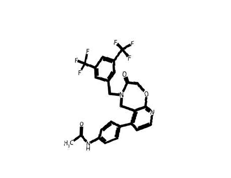 CC(=O)Nc1ccc(-c2ccnc3c2CN(Cc2cc(C(F)(F)F)cc(C(F)(F)F)c2)C(=O)CO3)cc1